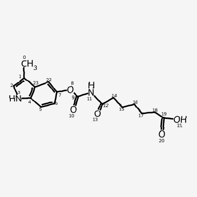 Cc1c[nH]c2ccc(OC(=O)NC(=O)CCCCCC(=O)O)cc12